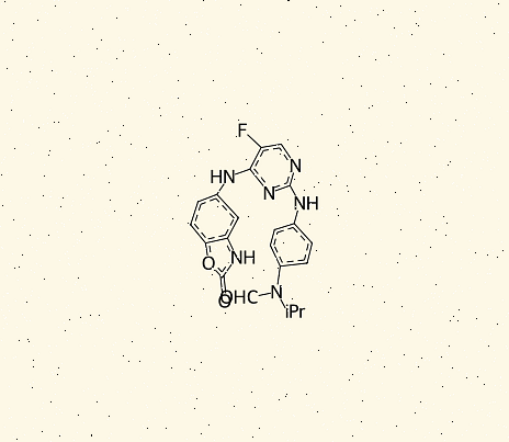 CC(C)N(C=O)c1ccc(Nc2ncc(F)c(Nc3ccc4oc(=O)[nH]c4c3)n2)cc1